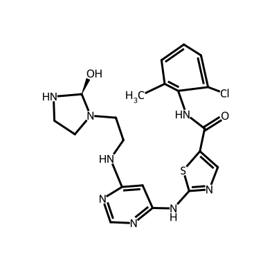 Cc1cccc(Cl)c1NC(=O)c1cnc(Nc2cc(NCCN3CCN[C@H]3O)ncn2)s1